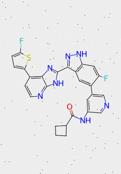 O=C(Nc1cncc(-c2cc3c(-c4nc5c(-c6ccc(F)s6)ccnc5[nH]4)n[nH]c3cc2F)c1)C1CCC1